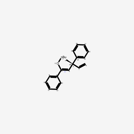 C=C[C@](C)(/C=C(\OCCCC)c1ccccc1)c1ccccc1